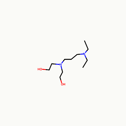 CCN(CC)CCCN(CCO)CCO